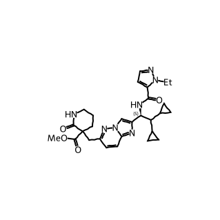 CCn1nccc1C(=O)N[C@H](c1cn2nc(CC3(C(=O)OC)CCCNC3=O)ccc2n1)C(C1CC1)C1CC1